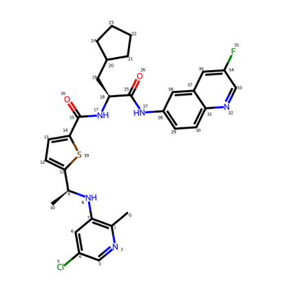 Cc1ncc(Cl)cc1N[C@@H](C)c1ccc(C(=O)N[C@@H](CC2CCCC2)C(=O)Nc2ccc3ncc(F)cc3c2)s1